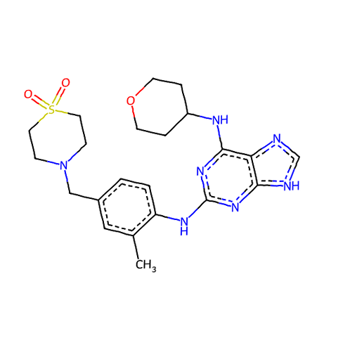 Cc1cc(CN2CCS(=O)(=O)CC2)ccc1Nc1nc(NC2CCOCC2)c2nc[nH]c2n1